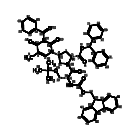 Cc1cn([C@@H]2C[C@H](C(=O)OC(c3ccccc3)c3ccccc3)N(C(=O)[C@@H](COC(C)(C)C)NC(=O)OCC3c4ccccc4-c4ccccc43)C2)c(=O)n(C(=O)c2ccccc2)c1=O